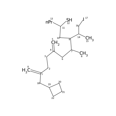 C=C(CCC(=C)CC(C)C(CC(S)CCC)C(C)CI)CC1CCC1